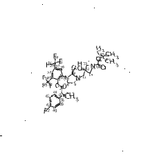 CN(C(=O)Oc1c(N2CCN(CC3(O)CN(C(=O)OC(C)(C)C)C3)C2=O)cc(C(F)(F)F)cc1C(F)(F)F)c1ccc(F)cc1